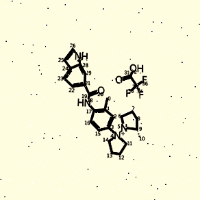 Cc1cc([N+]2(N3CCC[C@@H]3C)CCCC2)ccc1NC(=O)c1ccc2cc[nH]c2c1.O=C(O)C(F)(F)F